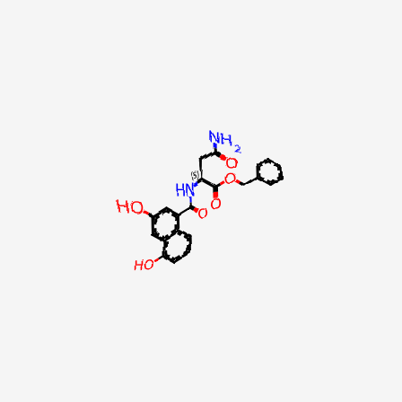 NC(=O)C[C@H](NC(=O)c1cc(O)cc2c(O)cccc12)C(=O)OCc1ccccc1